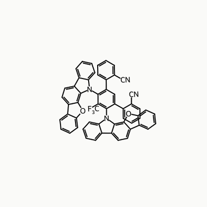 N#Cc1ccccc1-c1cc(-c2ccccc2C#N)c(-n2c3ccccc3c3ccc4c5ccccc5oc4c32)c(C(F)(F)F)c1-n1c2ccccc2c2ccc3c4ccccc4oc3c21